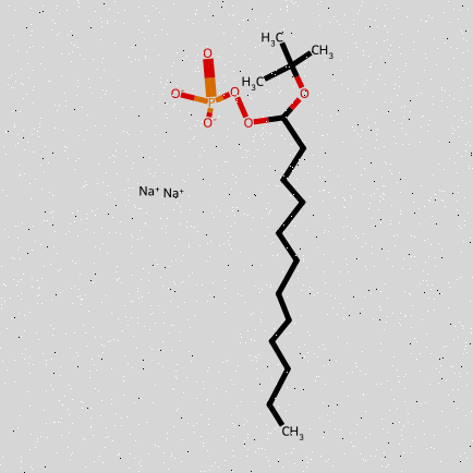 CCCCCCCCCCCC(OOP(=O)([O-])[O-])OC(C)(C)C.[Na+].[Na+]